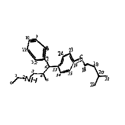 CCNCC(C)C(c1ccccc1)c1ccc(SCCC(C)C)cc1